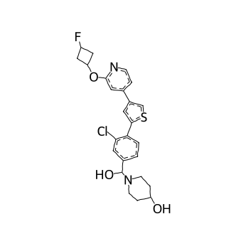 OC1CCN(C(O)c2ccc(-c3cc(-c4ccnc(OC5CC(F)C5)c4)cs3)c(Cl)c2)CC1